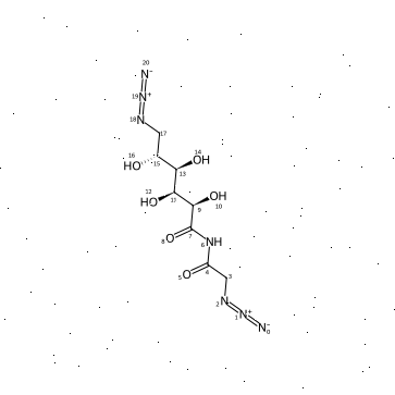 [N-]=[N+]=NCC(=O)NC(=O)[C@H](O)[C@@H](O)[C@H](O)[C@H](O)CN=[N+]=[N-]